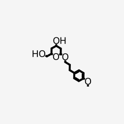 COc1ccc(CCCOC2CC(O)CC(CO)O2)cc1